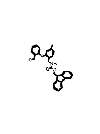 Cc1ccc(CNC(=O)OCC2c3ccccc3-c3ccccc32)c(Sc2ccccc2C=O)c1